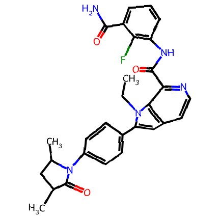 CCn1c(-c2ccc(N3C(=O)C(C)CC3C)cc2)cc2ccnc(C(=O)Nc3cccc(C(N)=O)c3F)c21